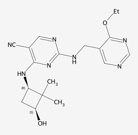 CCOc1ncncc1CNc1ncc(C#N)c(N[C@@H]2C[C@H](O)C2(C)C)n1